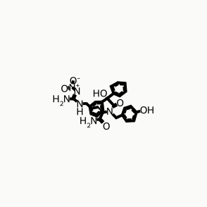 NC(=O)[C@@H](CCCNC(N)=N[N+](=O)[O-])N(Cc1ccc(O)cc1)C(=O)C(O)(c1ccccc1)c1ccccc1